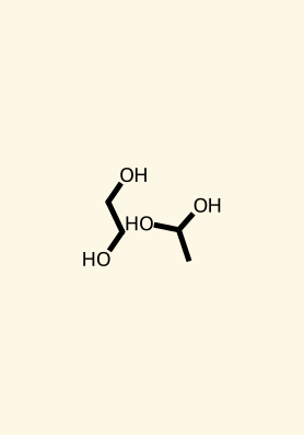 CC(O)O.OCCO